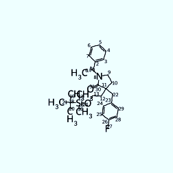 C[C@H](c1ccccc1)N1CCC(CCO[Si](C)(C)C(C)(C)C)(Cc2ccc(F)cc2)C1=O